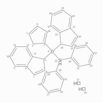 C1=CC[C]([Zr]([CH]2C=Cc3ccccc32)([CH]2C=Cc3ccccc32)[SiH](c2ccccc2)c2ccccc2)=C1.Cl.Cl